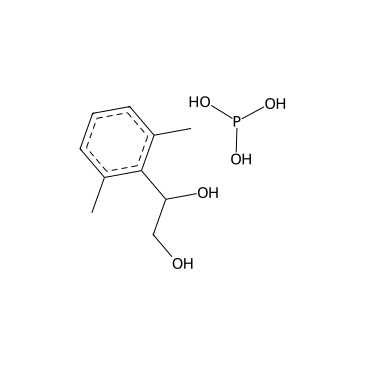 Cc1cccc(C)c1C(O)CO.OP(O)O